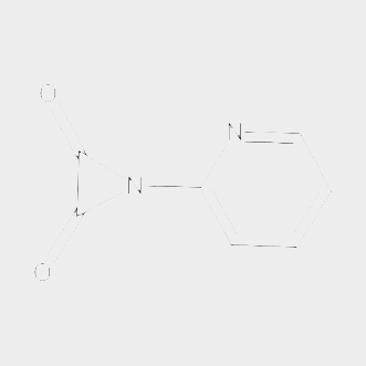 O=c1c(=O)n1-c1ccccn1